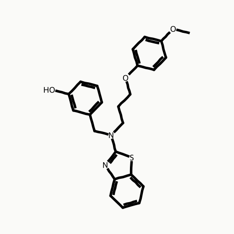 COc1ccc(OCCCN(Cc2cccc(O)c2)c2nc3ccccc3s2)cc1